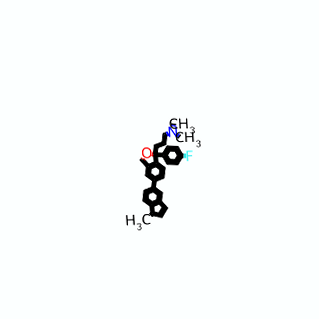 CC1C=Cc2cc(-c3ccc4c(c3)COC4(CCCN(C)C)c3ccc(F)cc3)ccc21